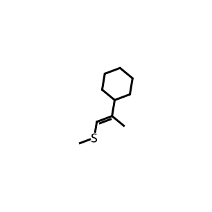 CS/C=C(\C)C1CCCCC1